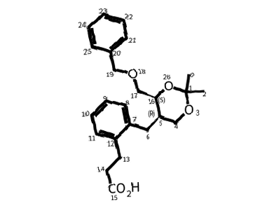 CC1(C)OC[C@@H](Cc2ccccc2CCC(=O)O)[C@@H](COCc2ccccc2)O1